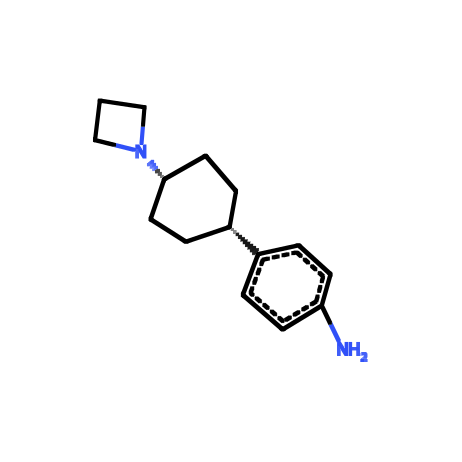 Nc1ccc([C@H]2CC[C@@H](N3CCC3)CC2)cc1